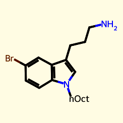 CCCCCCCCn1cc(CCCN)c2cc(Br)ccc21